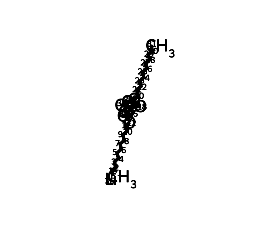 CCCCCCCCCCCCOC(=O)CC(C(=O)OCCCCCCCCCCCC)S(=O)(=O)[O-].[Li+]